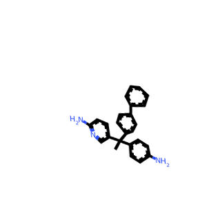 CC(c1ccc(N)cc1)(c1ccc(-c2ccccc2)cc1)c1ccc(N)nc1